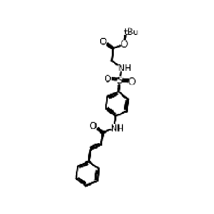 CC(C)(C)OC(=O)CNS(=O)(=O)c1ccc(NC(=O)C=Cc2ccccc2)cc1